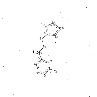 Cc1cccc(NCCc2ccsc2)c1